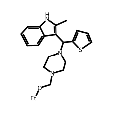 CCOCN1CCN(C(c2cccs2)c2c(C)[nH]c3ccccc23)CC1